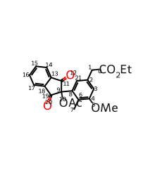 CCOC(=O)Cc1cc(OC)c(C)c(C2(OC(C)=O)C(=O)c3ccccc3C2=O)c1